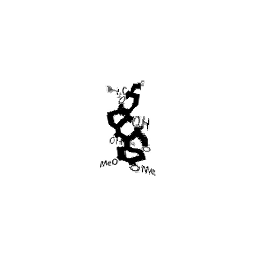 COc1cc2c(cc1OC)[C@@H]1C(=O)c3ccc4c(c3O[C@@H]1CO2)C=CC(C)(CF)O4